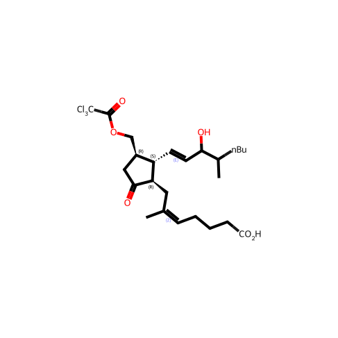 CCCCC(C)C(O)/C=C/[C@H]1[C@H](COC(=O)C(Cl)(Cl)Cl)CC(=O)[C@@H]1C/C(C)=C\CCCC(=O)O